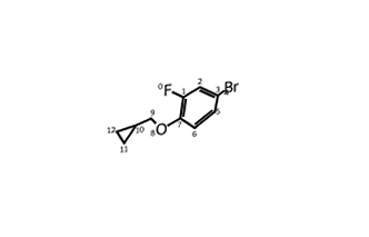 Fc1cc(Br)ccc1OCC1CC1